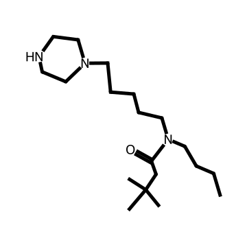 CCCCN(CCCCCN1CCNCC1)C(=O)CC(C)(C)C